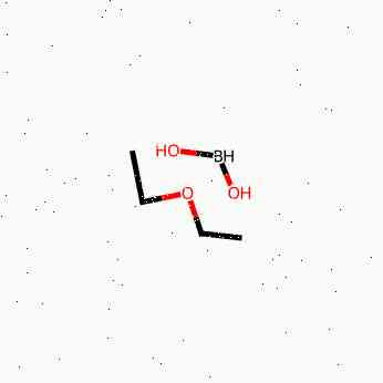 CCOCC.OBO